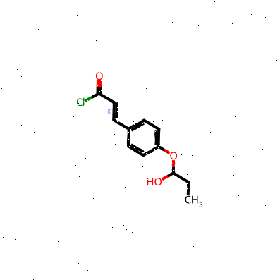 CCC(O)Oc1ccc(/C=C/C(=O)Cl)cc1